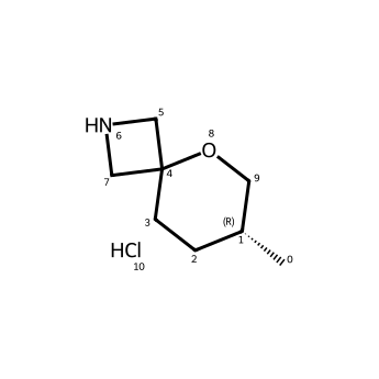 C[C@@H]1CCC2(CNC2)OC1.Cl